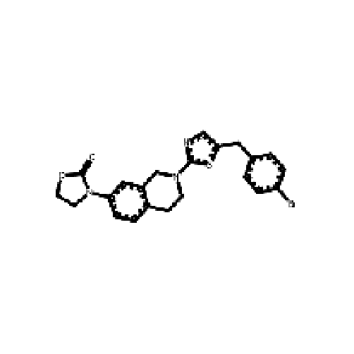 O=C1OCCN1c1ccc2c(c1)CN(c1ncc(Cc3ccc(Br)cc3)s1)CC2